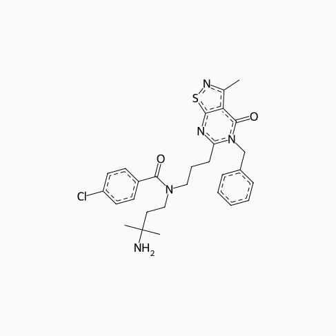 Cc1nsc2nc(CCCN(CCC(C)(C)N)C(=O)c3ccc(Cl)cc3)n(Cc3ccccc3)c(=O)c12